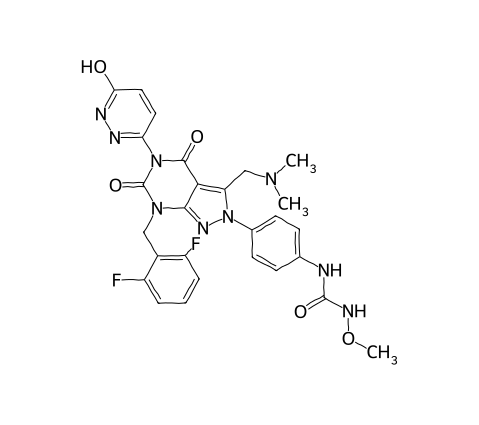 CONC(=O)Nc1ccc(-n2nc3c(c2CN(C)C)c(=O)n(-c2ccc(O)nn2)c(=O)n3Cc2c(F)cccc2F)cc1